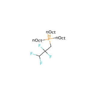 CCCCCCCC[PH](CCCCCCCC)(CCCCCCCC)CC(F)(F)C(F)F